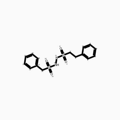 O=S(=O)(CCc1ccccc1)[N]NS(=O)(=O)Cc1ccccc1